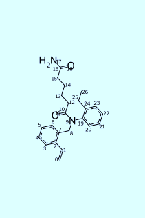 C=Cc1ccccc1CN(C(=O)CCCCC(N)=O)c1ccccc1CC